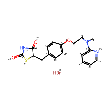 Br.CN(CCOc1ccc(CC2SC(=O)NC2=O)cc1)c1ccccn1